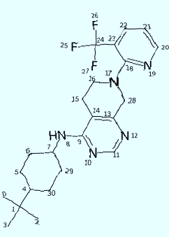 CC(C)(C)C1CCC(Nc2ncnc3c2CCN(c2ncccc2C(F)(F)F)C3)CC1